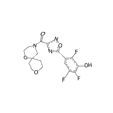 O=C(c1noc(-c2cc(F)c(F)c(O)c2F)n1)N1CCOC2(CCOCC2)C1